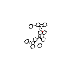 c1ccc(-c2ccc3c4ccccc4n(-c4ccc(N(c5ccc6c(c5)c5c(-c7ccccc7)cccc5n6-c5ccccc5)c5ccccc5-c5ccccc5)cc4)c3c2)cc1